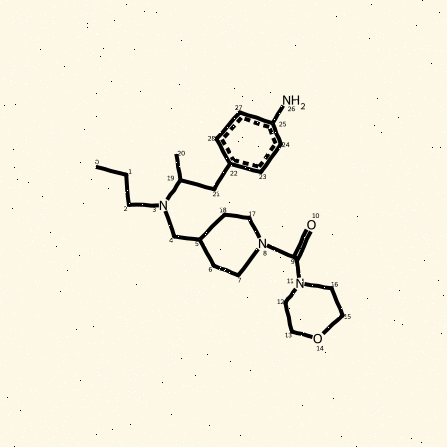 CCCN(CC1CCN(C(=O)N2CCOCC2)CC1)C(C)Cc1ccc(N)cc1